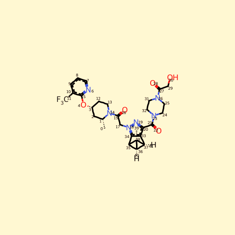 C[C@@H]1C[C@H](Oc2ncccc2C(F)(F)F)CCN1C(=O)Cn1nc(C(=O)N2CCN(C(=O)CO)CC2)c2c1C1[C@@H]3[C@H]2[C@]13C